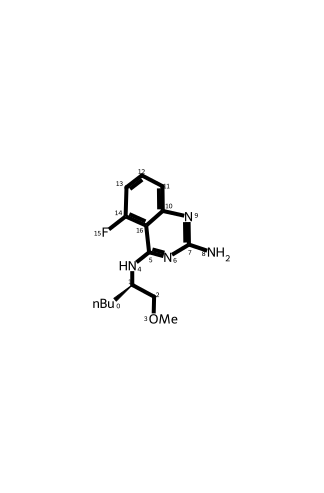 CCCC[C@H](COC)Nc1nc(N)nc2cccc(F)c12